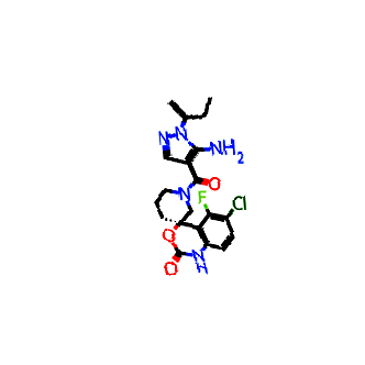 C=C(CC)n1ncc(C(=O)N2CCC[C@@]3(C2)OC(=O)Nc2ccc(Cl)c(F)c23)c1N